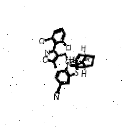 Cc1onc(-c2c(Cl)cccc2Cl)c1CO[C@@H]1C[C@H]2CC[C@@H](C1)[C@@]2(O)c1nc2ccc(C#N)cc2s1